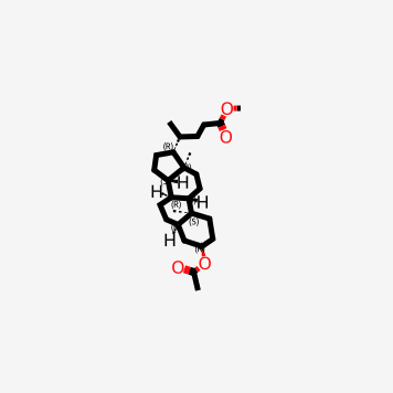 COC(=O)CCC(C)[C@H]1CC[C@H]2[C@@H]3CC[C@@H]4C[C@H](OC(C)=O)CC[C@]4(C)[C@H]3CC[C@]12C